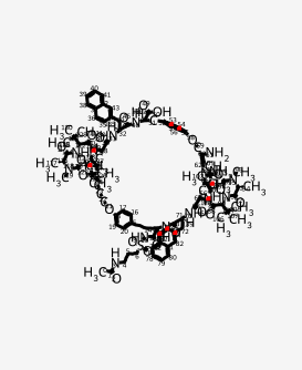 CC(=O)NCCCS(=O)(=O)NC(=O)[C@@H]1Cc2ccc(cc2)OCCCC[C@H]2C[C@@H](C(=O)N[C@@H](Cc3ccc4ccccc4c3)C(=O)N[C@H](C(=O)O)Cc3ccc(cc3)OC/C(N)=C/N(N)[C@H]3C[C@@H](C(=O)N[C@@H](Cc4ccc5ccccc5c4)C(=O)N1)N(C(=O)[C@@H](NC(=O)[C@H](C)N(C)C(=O)OC(C)(C)C)C(C)(C)C)C3)N(C(=O)[C@@H](NC(=O)[C@H](C)N(C)C(=O)OC(C)(C)C)C(C)(C)C)C2